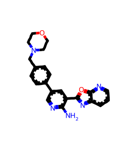 Nc1ncc(-c2ccc(CN3CCOCC3)cc2)cc1-c1nc2cccnc2o1